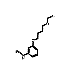 CC(=O)COCCCCOc1cccc(NC(C)C)c1